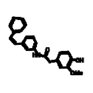 COc1cc(CC(=O)Nc2cccc(/C=C\c3ccccc3)c2)ccc1O